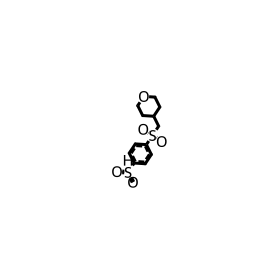 O=[SH](=O)c1ccc(S(=O)(=O)CC2CCOCC2)cc1